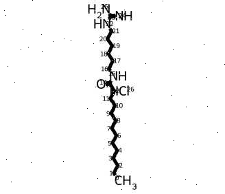 CCCCCCCCCCCCCC(=O)NCCCCCCNC(=N)N.Cl